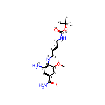 COc1cc(C(N)=O)cc(N)c1NC/C=C/CNC(=O)OC(C)(C)C